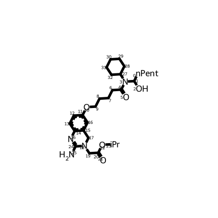 CCCCCC(O)N(C(=O)CCCCOc1ccc2c(c1)CN(CC(=O)OC(C)C)C(N)=N2)C1CCCCC1